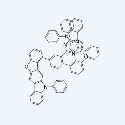 c1ccc(-c2nc(-c3ccccc3)nc(-c3cc(-c4cccc5oc6cc7c8ccccc8n(-c8ccccc8)c7cc6c45)ccc3-c3cccc4oc5cc6c7ccccc7n(-c7ccccc7)c6cc5c34)n2)cc1